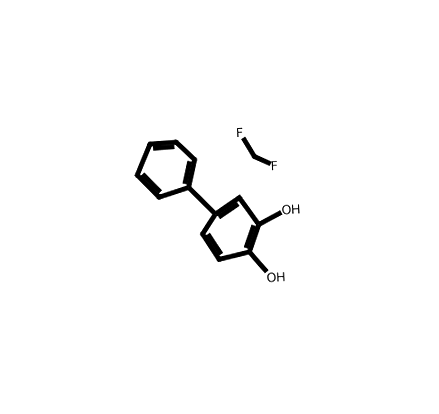 FCF.Oc1ccc(-c2ccccc2)cc1O